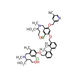 Cc1cc(OCc2cccc(-c3cccc(COc4cc(OCc5cncc(C#N)c5)c(CN(C)C(CCO)C(=O)O)cc4Cl)c3C)c2C)c(Cl)cc1CN(C)C(CCO)C(=O)O